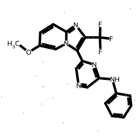 COc1ccc2nc(C(F)(F)F)c(-c3cncc(Nc4ccccc4)n3)n2c1